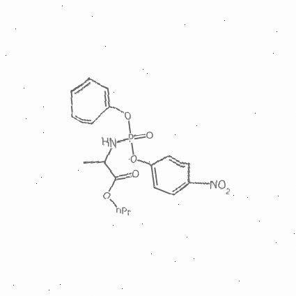 CCCOC(=O)C(C)NP(=O)(Oc1ccccc1)Oc1ccc([N+](=O)[O-])cc1